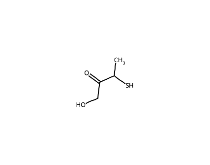 CC(S)C(=O)CO